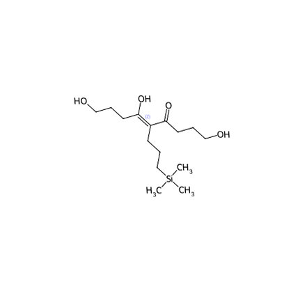 C[Si](C)(C)CCC/C(C(=O)CCCO)=C(/O)CCCO